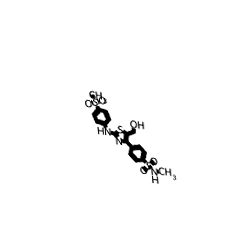 CNS(=O)(=O)c1ccc(-c2nc(Nc3ccc(S(C)(=O)=O)cc3)sc2CO)cc1